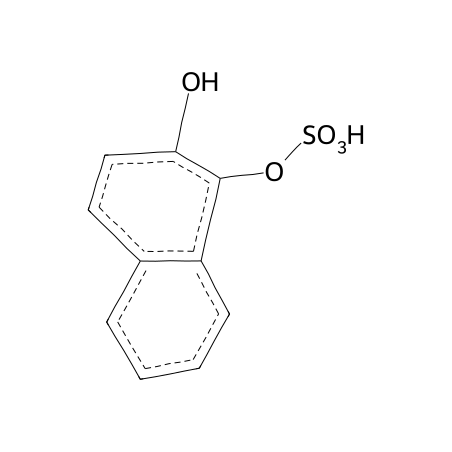 O=S(=O)(O)Oc1c(O)ccc2ccccc12